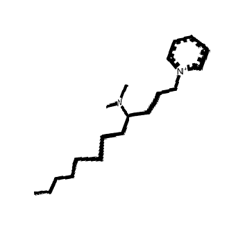 CCCCCCCCC(CCC[n+]1ccccc1)N(C)C